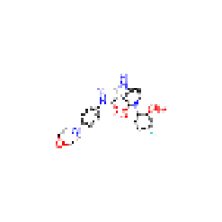 O=C(Nc1ccc(N2CCOCC2)cc1)c1c[nH]c2ccn(-c3ccc(F)cc3O)c(=O)c12